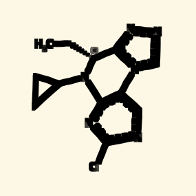 CC[C@@H]1c2nncn2-c2cnc(Cl)nc2N1C1CC1